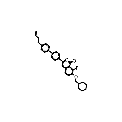 C=CCCc1ccc(-c2ccc(-c3cc4ccc(OCC5CCCCC5)c(F)c4c(=O)o3)cc2)cc1